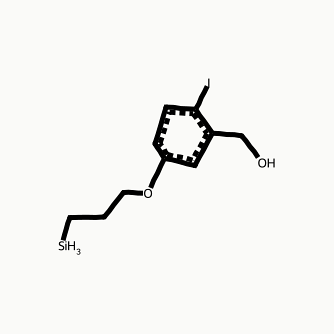 OCc1cc(OCCC[SiH3])ccc1I